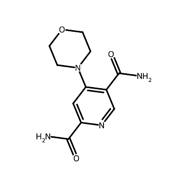 NC(=O)c1cc(N2CCOCC2)c(C(N)=O)cn1